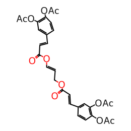 CC(=O)Oc1ccc(C=CC(=O)OC=CCOC(=O)C=Cc2ccc(OC(C)=O)c(OC(C)=O)c2)cc1OC(C)=O